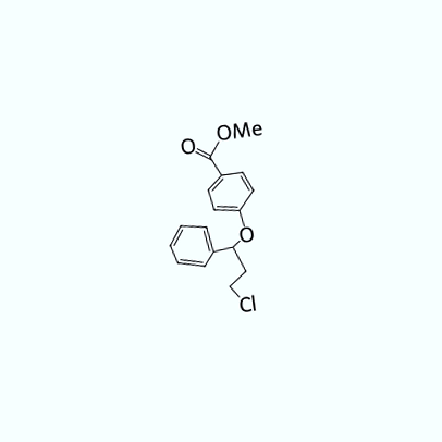 COC(=O)c1ccc(OC(CCCl)c2ccccc2)cc1